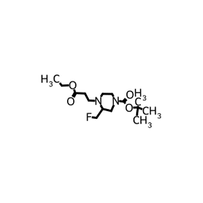 CCOC(=O)CCN1CCN(C(=O)OC(C)(C)C)CC1CF